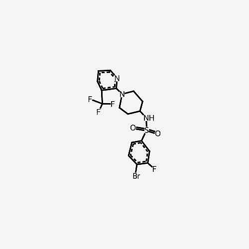 O=S(=O)(NC1CCN(c2ncccc2C(F)(F)F)CC1)c1ccc(Br)c(F)c1